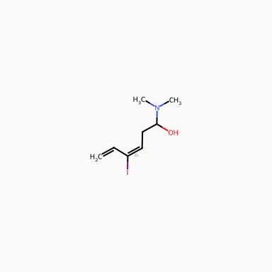 C=C/C(I)=C\CC(O)N(C)C